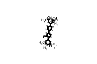 CC1(C)CC(c2ccc(-c3ccc(C4CC(C)(C)NC(C)(C)C4)cc3)cc2F)CC(C)(C)C1